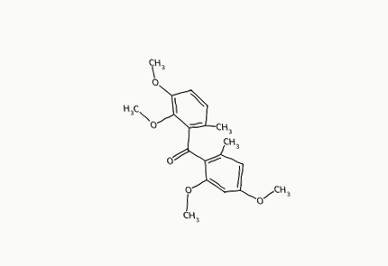 COc1cc(C)c(C(=O)c2c(C)ccc(OC)c2OC)c(OC)c1